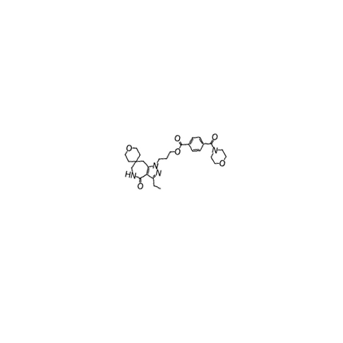 CCc1nn(CCCOC(=O)c2ccc(C(=O)N3CCOCC3)cc2)c2c1C(=O)NCC1(CCOCC1)C2